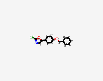 Clc1ncc(-c2ccc(OCc3ccccc3)cc2)o1